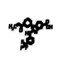 C=CC(=O)N1CCC[C@@H](n2c(Nc3cccc(C(F)(F)F)c3)nc3cc(C(=O)O)ccc32)C1